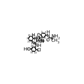 Cc1ccc(NC(=O)[C@H](C)N)cc1S(=O)(=O)Nc1nc2ccccc2nc1Nc1cc(O)ccc1Cl